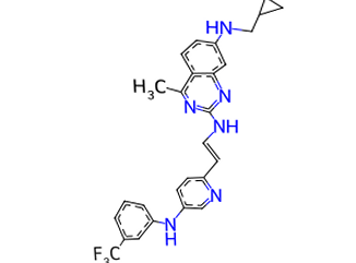 Cc1nc(N/C=C/c2ccc(Nc3cccc(C(F)(F)F)c3)cn2)nc2cc(NCC3CC3)ccc12